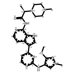 COc1nn(C)cc1Nc1nccc(-c2c[nH]c3c(NC(=O)[C@@H](C)N4CCN(C)CC4)nccc23)n1